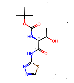 CC(O)[C@H](NC(=O)OC(C)(C)C)C(=O)Nc1nncs1